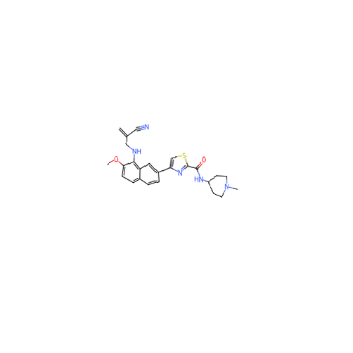 C=C(C#N)CNc1c(OC)ccc2ccc(-c3csc(C(=O)NC4CCN(C)CC4)n3)cc12